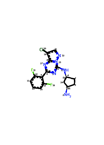 N[C@@H]1CC[C@H](Nc2nc(-c3c(F)cccc3F)nc3c(Cl)cnn23)C1